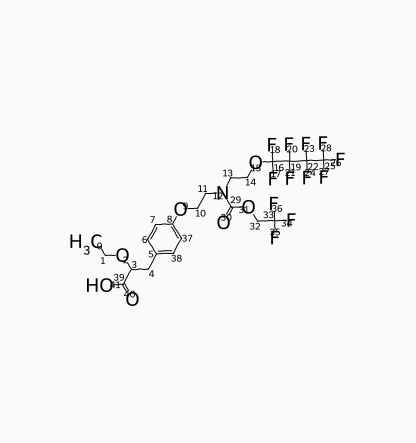 CCOC(Cc1ccc(OCCN(CCOC(F)(F)C(F)(F)C(F)(F)C(F)(F)F)C(=O)OCC(F)(F)F)cc1)C(=O)O